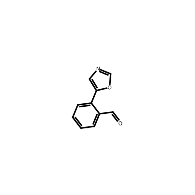 O=Cc1ccccc1-c1cnco1